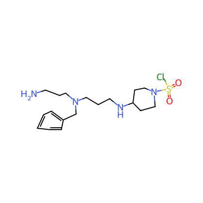 NCCCN(CCCNC1CCN(S(=O)(=O)Cl)CC1)Cc1ccccc1